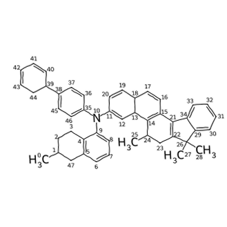 CC1CCc2c(cccc2N(C2=CC3C4=C(C=CC3C=C2)C2=C(CC4C)C(C)(C)c3ccccc32)c2ccc(C3C=CC=CC3)cc2)C1